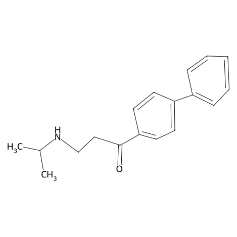 CC(C)NCCC(=O)c1ccc(-c2ccccc2)cc1